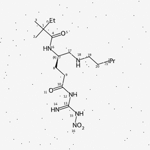 CCC(C)(C)C(=O)N[C@H](CCC(=O)NC(=N)N[N+](=O)[O-])CNCCC(C)C